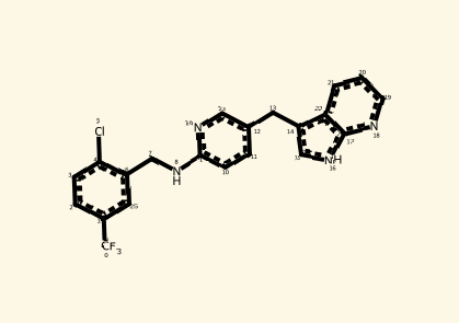 FC(F)(F)c1ccc(Cl)c(CNc2ccc(Cc3c[nH]c4ncccc34)cn2)c1